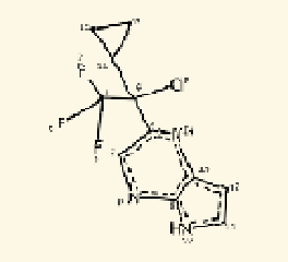 FC(F)(F)C(Cl)(c1cnc2[nH]ccc2n1)C1CC1